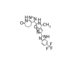 C[C@H](NC(=O)c1ncnc2c1CCCC(=O)N2)c1cc(-c2nc3ccc(C(F)(F)F)cc3[nH]2)no1